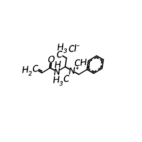 C=CC(=O)NC(CC)[N+](C)(C)Cc1ccccc1.[Cl-]